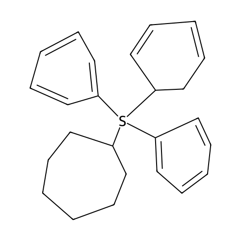 C1=CCC(S(c2ccccc2)(c2ccccc2)C2CCCCCC2)C=C1